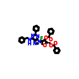 O=C(OC[C@H]1OC[C@@](F)(n2cnc3c(NCc4ccccc4)nc(-c4ccccc4)nc32)[C@@H]1OC(=O)c1ccccc1)c1ccccc1